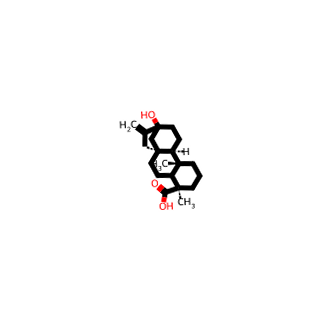 C=C1C[C@@]23CCC4[C@](C)(C(=O)O)CCC[C@@]4(C)[C@@H]2CCC1(O)C3